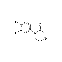 O=C1C[N]CCN1c1ccc(F)c(F)c1